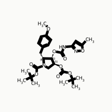 COc1ccc(C[C@@H]2[C@H](OC(=O)Nc3cc(C)on3)[C@@H](OC(=O)OC(C)(C)C)CN2C(=O)OC(C)(C)C)cc1